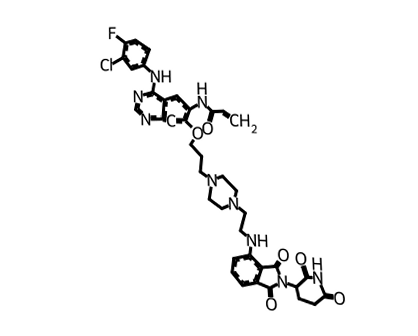 C=CC(=O)Nc1cc2c(Nc3ccc(F)c(Cl)c3)ncnc2cc1OCCCN1CCN(CCNc2cccc3c2C(=O)N(C2CCC(=O)NC2=O)C3=O)CC1